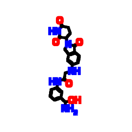 NC(O)c1cccc(NC(=O)CNc2ccc3c(c2)CN(C2CCC(=O)NC2=O)C3=O)c1